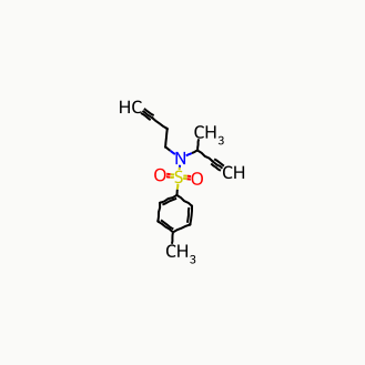 C#CCCN(C(C)C#C)S(=O)(=O)c1ccc(C)cc1